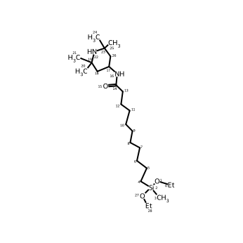 CCO[Si](C)(CCCCCCCCCCC(=O)NC1CC(C)(C)NC(C)(C)C1)OCC